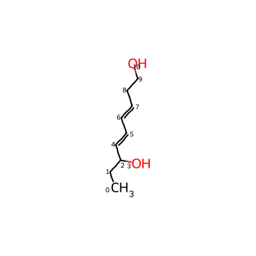 CCC(O)/C=C/C=C/CCO